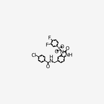 O=C(NCc1ccc2[nH]c(=O)n(S(=O)(=O)c3ccc(F)c(F)c3)c2c1)c1ccc(Cl)cc1